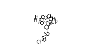 CCc1cc(-c2ccc(-c3ccc(Cl)s3)s2)ccc1C1=C(O)C(C)(C)OC(C)(C)C1=O